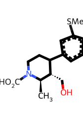 CSc1cccc(C2CCN(C(=O)O)[C@H](C)[C@H]2CO)c1